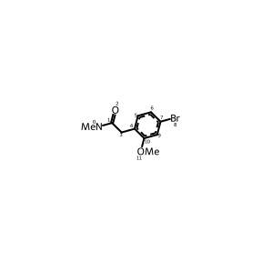 CNC(=O)Cc1ccc(Br)cc1OC